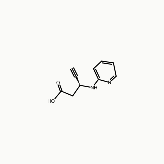 C#C[C@H](CC(=O)O)Nc1ccccn1